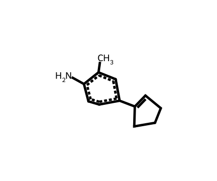 Cc1cc(C2=CCCC2)ccc1N